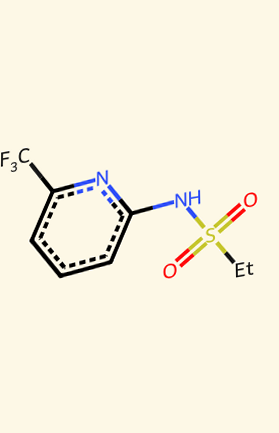 CCS(=O)(=O)Nc1cccc(C(F)(F)F)n1